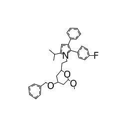 COC1CC(OCc2ccccc2)CC(CCn2c(C(C)C)cc(-c3ccccc3)c2-c2ccc(F)cc2)O1